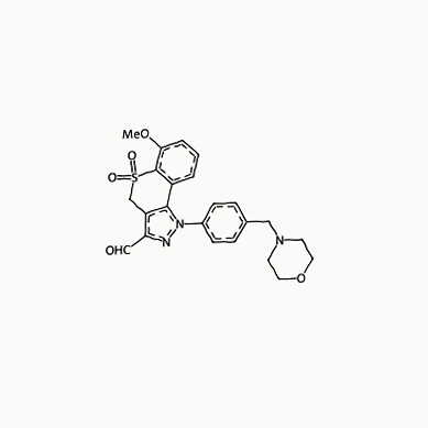 COc1cccc2c1S(=O)(=O)Cc1c(C=O)nn(-c3ccc(CN4CCOCC4)cc3)c1-2